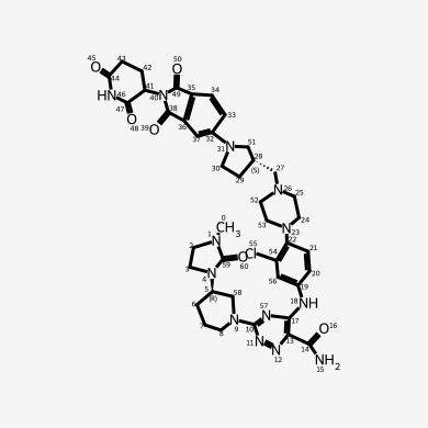 CN1CCN([C@@H]2CCCN(c3nnc(C(N)=O)c(Nc4ccc(N5CCN(C[C@@H]6CCN(c7ccc8c(c7)C(=O)N(C7CCC(=O)NC7=O)C8=O)C6)CC5)c(Cl)c4)n3)C2)C1=O